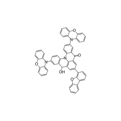 O=c1c2cc(N3c4ccccc4Oc4ccccc43)ccc2n2c3c(cc(-c4cccc5c4oc4ccccc45)cc13)C(O)c1cc(N3c4ccccc4Oc4ccccc43)ccc1-2